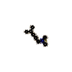 c1ccc(-c2cc(-c3ccccc3)cc(-c3ccc(-c4ccc(-c5cccc(-c6nc(-c7ccccc7)c7sc8ccccc8c7n6)c5)cc4)cc3)c2)cc1